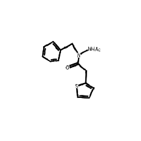 CC(=O)NN(Cc1ccccc1)C(=O)Cc1cccs1